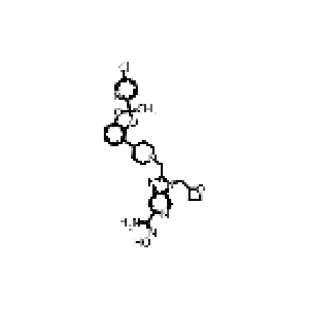 CC1(c2ccc(Cl)cn2)Oc2cccc(C3CCN(Cc4nc5cc(C(N)=NO)ncc5n4CC4CCO4)CC3)c2O1